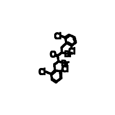 O=C(C(Br)Cc1c(Cl)cccc1Cl)C(Br)Cc1c(Cl)cccc1Cl